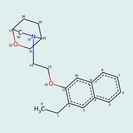 CCc1cc2ccccc2cc1OCCN1CC2CCC1CO2